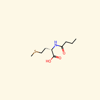 CCCC(=O)N[C@@H](CCSC)C(=O)O